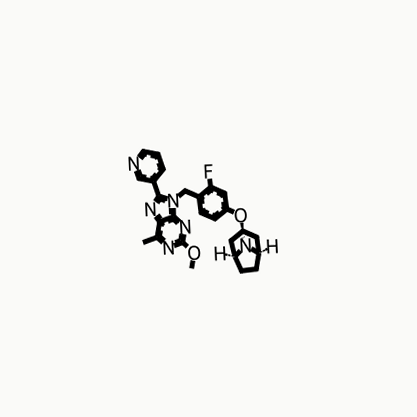 COc1nc(C)c2nc(-c3cccnc3)n(Cc3ccc(O[C@H]4C[C@H]5CC[C@@H](C4)N5C)cc3F)c2n1